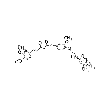 COc1cc(C=CC(=O)CC(=O)C=Cc2ccc(OCCNC(=O)OC(C)(C)C)c(OC)c2)ccc1O